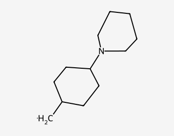 [CH2]C1CCC(N2CCCCC2)CC1